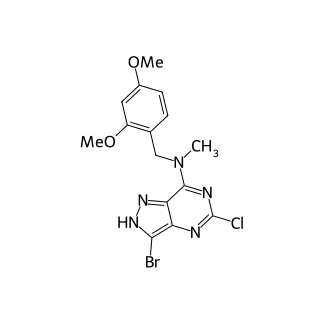 COc1ccc(CN(C)c2nc(Cl)nc3c(Br)[nH]nc23)c(OC)c1